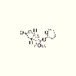 CCCCCCCCC1[C@H]2CC(=O)O[C@H]2C[C@H]1OC1CCCCO1